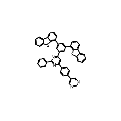 c1ccc(-c2nc(-c3ccc(-c4cncnc4)cc3)cc(-c3cc(-c4cccc5c4sc4ccccc45)cc(-c4cccc5c4sc4ccccc45)c3)n2)cc1